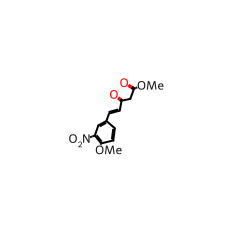 COC(=O)CC(=O)C=Cc1ccc(OC)c([N+](=O)[O-])c1